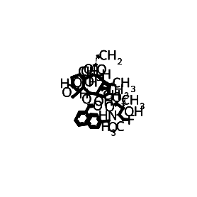 C=C[C@@H]1O[C@@H]2C3=C(C)[C@@H](OC(=O)[C@](C)(O)[C@@H](NC(=O)c4ccccc4)[C@H](C)F)C[C@@](O)([C@@H](OC(=O)c4ccccc4)[C@H]4[C@@](C)(CC[C@H]5OC[C@]54OC(C)=O)[C@@H]2O1)C3(C)C